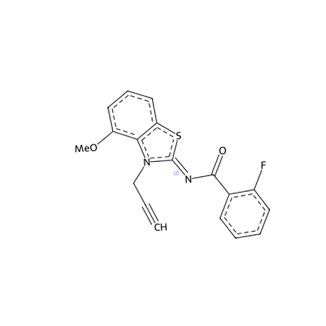 C#CCn1/c(=N/C(=O)c2ccccc2F)sc2cccc(OC)c21